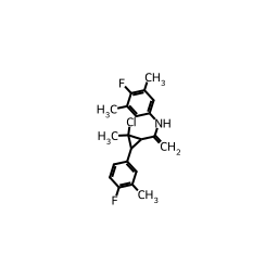 C=C(Nc1cc(C)c(F)c(C)c1)C1C(c2ccc(F)c(C)c2)C1(C)Cl